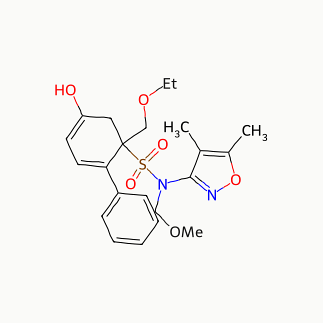 CCOCC1(S(=O)(=O)N(COC)c2noc(C)c2C)CC(O)=CC=C1c1ccccc1